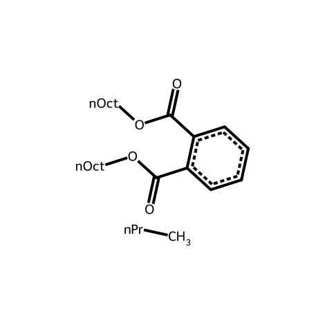 CCCC.CCCCCCCCOC(=O)c1ccccc1C(=O)OCCCCCCCC